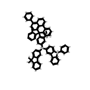 Cc1ccccc1C1(c2ccc(N(c3ccc4c(c3)-c3ccccc3C4(C)C)c3ccc4c(c3)c3ccccc3n4-c3ccccc3)cc2[SiH](C)C)c2ccccc2-c2cccc3c(-c4ccccc4)ccc1c23